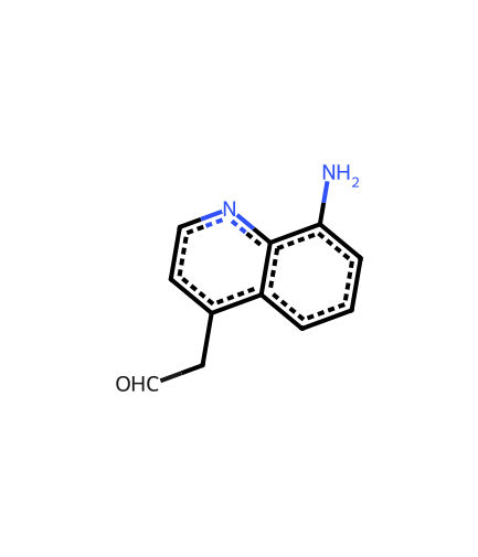 Nc1cccc2c(CC=O)ccnc12